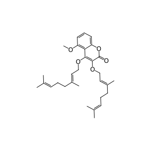 COc1cccc2oc(=O)c(OC/C=C(\C)CCC=C(C)C)c(OC/C=C(\C)CCC=C(C)C)c12